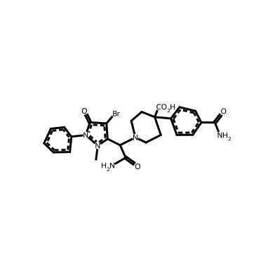 Cn1c(C(C(N)=O)N2CCC(C(=O)O)(c3ccc(C(N)=O)cc3)CC2)c(Br)c(=O)n1-c1ccccc1